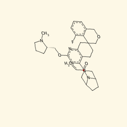 C=CC(=O)N1C2CCC1CN(c1nc(OC[C@@H]3CCCN3C)nc3c1CCC1(COCc4cccc(F)c41)C3)C2